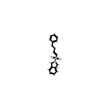 O=S(=O)(/C=C/CCc1ccccc1)N1Cc2ccccc2C1